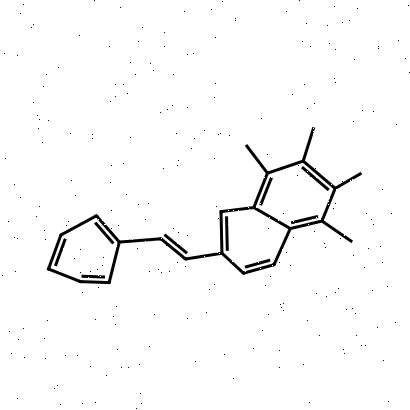 Cc1c(C)c(C)c2cc(C=Cc3ccccc3)ccc2c1C